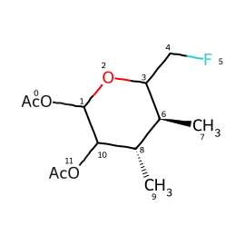 CC(=O)OC1OC(CF)[C@@H](C)[C@H](C)C1OC(C)=O